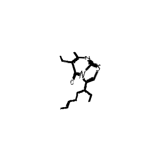 CC=CCCC(CC)c1csc2nc(C)c(CC)c(=O)n12